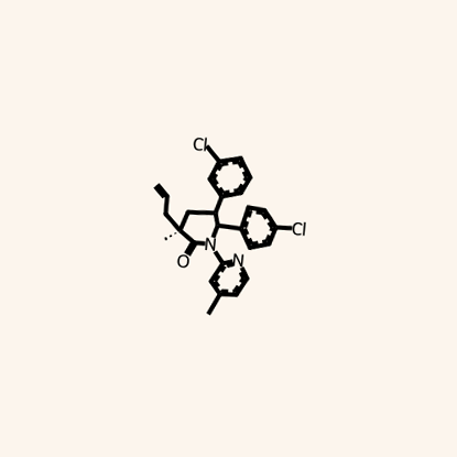 C=CC[C@@]1(C)CC(c2cccc(Cl)c2)C(c2ccc(Cl)cc2)N(c2cc(C)ccn2)C1=O